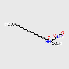 O=C(O)CCCCCCCCCCCCCCCCCCC(=O)N[C@@H](CCC(=O)NCC(=O)I)C(=O)O